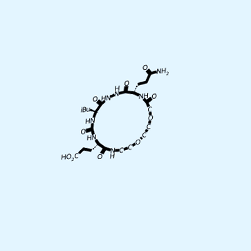 CCC(C)[C@@H]1NC(=O)N[C@@H](CCC(=O)O)C(=O)NCCOCCOCC(=O)N[C@@H](CCC(N)=O)C(=O)NNC1=O